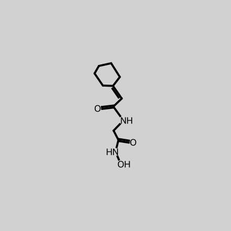 O=C(C=C1CCCCC1)NCC(=O)NO